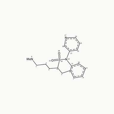 CNCCCC1Cc2ccccc2N(c2cccnc2)S1(=O)=O